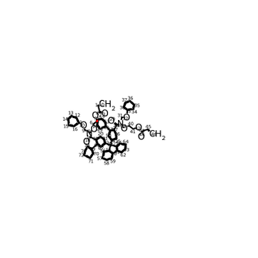 C=CC(=O)OCCON(COc1ccccc1)C(=O)c1ccc(C2(c3ccc(C(=O)N(COc4ccccc4)OCCOC(=O)C=C)c(-c4ccccc4)c3)c3ccccc3-c3ccccc32)cc1-c1ccccc1